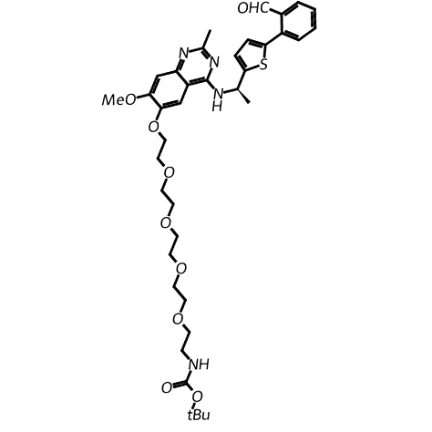 COc1cc2nc(C)nc(N[C@H](C)c3ccc(-c4ccccc4C=O)s3)c2cc1OCCOCCOCCOCCOCCNC(=O)OC(C)(C)C